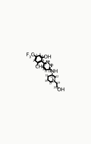 Cc1cc(C(F)(F)F)cc(O)c1-c1ccc(N[C@@H]2CCCN(CCO)C2)nn1